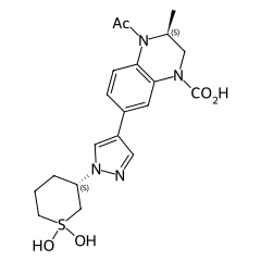 CC(=O)N1c2ccc(-c3cnn([C@H]4CCCS(O)(O)C4)c3)cc2N(C(=O)O)C[C@@H]1C